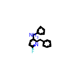 Fc1ccc(Cc2ccccc2)c(Cc2ccccc2)n1.N